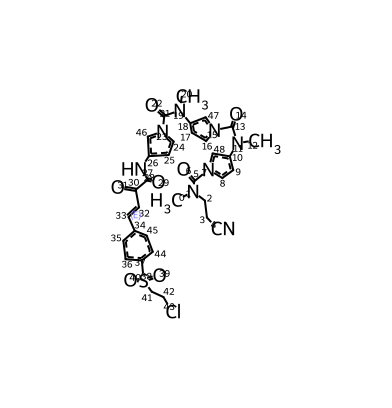 CN(CCC#N)C(=O)n1ccc(N(C)C(=O)n2ccc(N(C)C(=O)n3ccc(NC(=O)C(=O)/C=C/c4ccc(S(=O)(=O)CCCl)cc4)c3)c2)c1